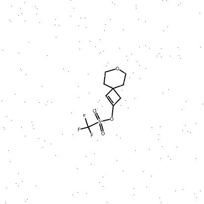 O=S(=O)(OC1=CC2(CCOCC2)C1)C(F)(F)F